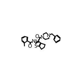 Cc1ccccc1C(=O)Nc1sc2c(c1C(=O)N1CCN(Cc3ccccc3)CC1)CCC2